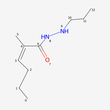 CCCC=C(C)C(=O)NNCCC